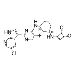 O=c1cc(N[C@@H]2CCC[C@H](Nc3nc(-c4c[nH]c5ncc(Cl)cc45)ncc3F)C2)c1=O